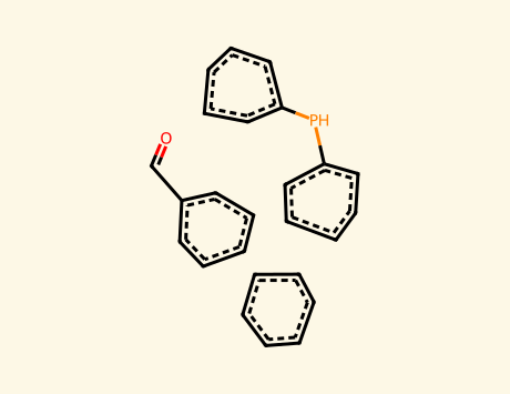 O=Cc1ccccc1.c1ccc(Pc2ccccc2)cc1.c1ccccc1